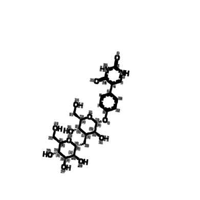 O=c1[nH]cc(-c2ccc(O[C@H]3O[C@H](CO)[C@@H](O)[C@H](C[C@H]4O[C@H](CO)[C@@H](O)[C@H](O)[C@@H]4O)[C@@H]3O)cc2)c(=O)[nH]1